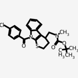 CN(CC1CCSc2c1c1ccccc1n2C(=O)c1ccc(Cl)cc1)C(=O)OC(C)(C)C